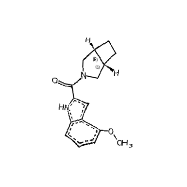 COc1cccc2[nH]c(C(=O)N3C[C@H]4CC[C@H]4C3)cc12